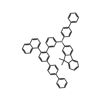 CC1(C)c2ccccc2-c2ccc(N(c3ccc(-c4ccccc4)cc3)c3cccc(-c4cc(-c5ccc(-c6ccccc6)cc5)ccc4-c4cccc5ccccc45)c3)cc21